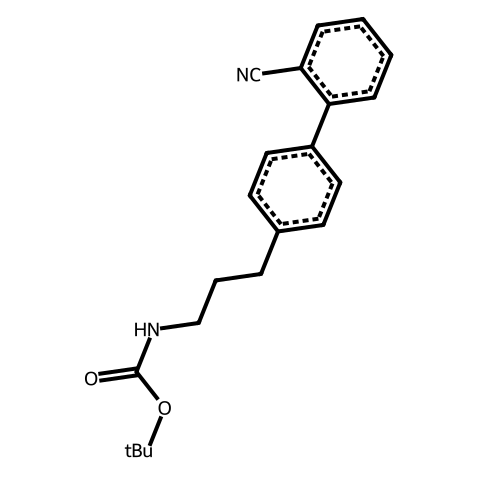 CC(C)(C)OC(=O)NCCCc1ccc(-c2ccccc2C#N)cc1